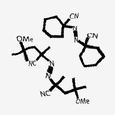 COC(C)(C)CC(C)(C#N)N=NC(C)(C#N)CC(C)(C)OC.N#CC1(N=NC2(C#N)CCCCC2)CCCCC1